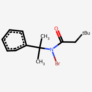 CC(C)(C)CC(=O)N(Br)C(C)(C)c1ccccc1